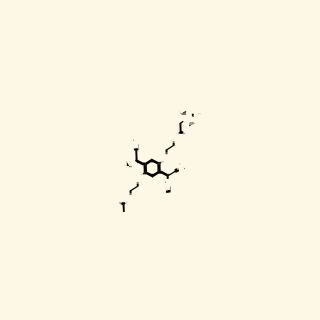 [C-]#[N+]/C(C#N)=c1/cc(OCCOC(=O)CS(=O)(=O)O)/c(=C(\C#N)[N+]#[C-])cc1OCCOC(C)=O